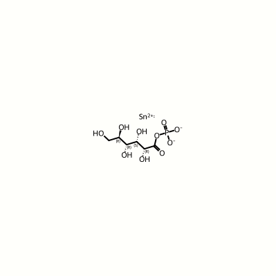 O=C(OP(=O)([O-])[O-])[C@H](O)[C@@H](O)[C@H](O)[C@H](O)CO.[Sn+2]